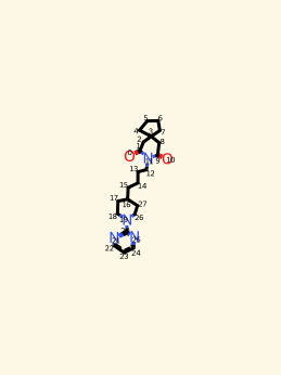 O=C1CC2(CCCC2)CC(=O)N1CCCCC1CCN(c2ncccn2)CC1